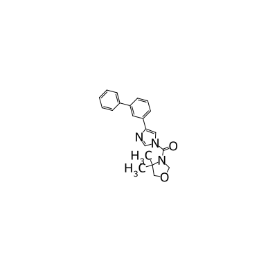 CC1(C)COCN1C(=O)n1cnc(-c2cccc(-c3ccccc3)c2)c1